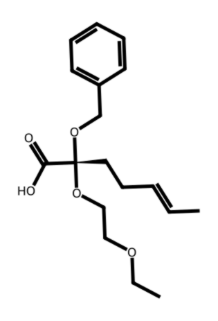 C/C=C/CC[C@](OCCOCC)(OCc1ccccc1)C(=O)O